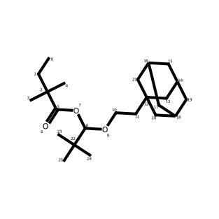 CCC(C)(C)C(=O)OC(OCCC12CC3CC(CC(C3)C1)C2)C(C)(C)C